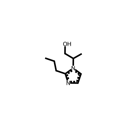 CCCc1nccn1C(C)CO